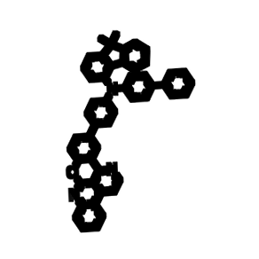 CC1(C)c2ccccc2-c2c(N(c3ccc(-c4ccccc4)cc3)c3ccc(-c4ccc5c(c4)-c4nccc6c4c(nc4ccccc46)O5)cc3)cccc21